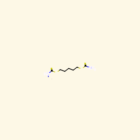 CC(C)(C)NC(=S)SCCCCCSC(N)=S